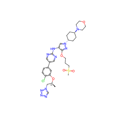 C[C@@H](Cn1cnnn1)Oc1cc(-c2cnc(Nc3cn([C@H]4CC[C@H](N5CCOCC5)CC4)nc3OCCCS(C)(=O)=O)nc2)ccc1Cl